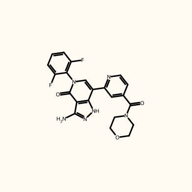 Nc1n[nH]c2c(-c3cc(C(=O)N4CCOCC4)ccn3)cn(-c3c(F)cccc3F)c(=O)c12